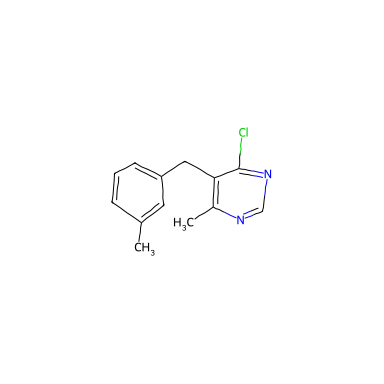 Cc1cccc(Cc2c(C)ncnc2Cl)c1